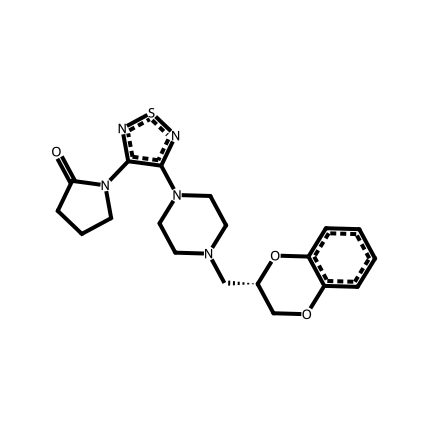 O=C1CCCN1c1nsnc1N1CCN(C[C@H]2COc3ccccc3O2)CC1